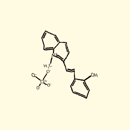 C[n+]1c(/C=C/c2ccccc2O)ccc2ccccc21.[O-][Cl+3]([O-])([O-])[O-]